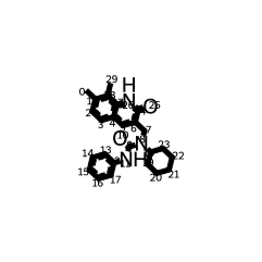 Cc1ccc2cc(CN(C(=O)Nc3ccccc3)C3CCCCC3)c(=O)[nH]c2c1C